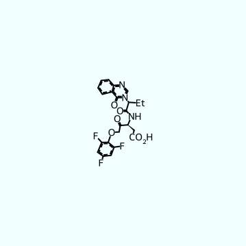 CCC(C(=O)N[C@@H](CC(=O)O)C(=O)COc1c(F)cc(F)cc1F)n1cnc2ccccc2c1=O